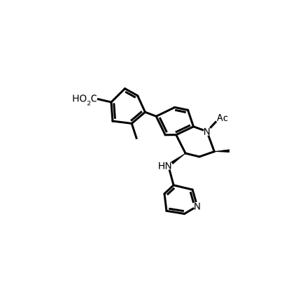 CC(=O)N1c2ccc(-c3ccc(C(=O)O)cc3C)cc2[C@H](Nc2cccnc2)C[C@@H]1C